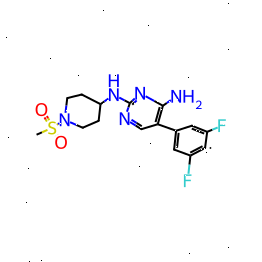 CS(=O)(=O)N1CCC(Nc2ncc(-c3cc(F)[c]c(F)c3)c(N)n2)CC1